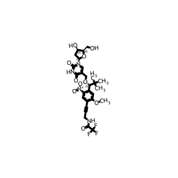 COc1cc([C@@H](OCc2cn([C@H]3C[C@@H](O)[C@@H](CO)O3)c(=O)[nH]c2=O)C(C)(C)C)c([N+](=O)[O-])cc1C#CCNC(=O)C(F)(F)F